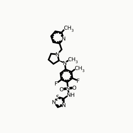 Cc1cccc(CN2CCC[C@@H]2N(C)c2cc(F)c(S(=O)(=O)Nc3ncns3)c(F)c2C)n1